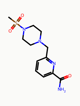 CS(=O)(=O)N1CCN(Cc2cccc(C(N)=O)n2)CC1